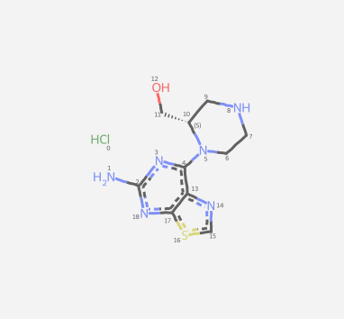 Cl.Nc1nc(N2CCNC[C@H]2CO)c2ncsc2n1